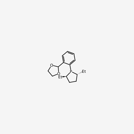 CC[C@@H]1CC[C@@H](CC)P1c1ccccc1C1OCCO1